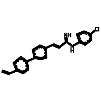 C=Cc1ccc(-c2ccc(/C=C/C(=N)Nc3ccc(Cl)cc3)cc2)cc1